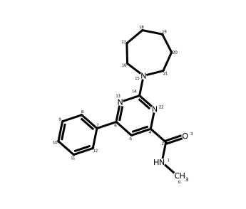 CNC(=O)c1cc(-c2ccccc2)nc(N2CCCCCC2)n1